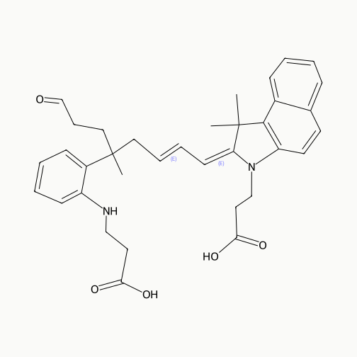 CC(C/C=C/C=C1/N(CCC(=O)O)c2ccc3ccccc3c2C1(C)C)(CCC=O)c1ccccc1NCCC(=O)O